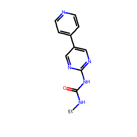 CCNC(=O)Nc1ncc(-c2ccncc2)cn1